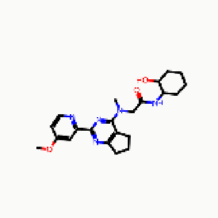 COc1ccnc(-c2nc3c(c(N(C)CC(=O)NC4CCCCC4O)n2)CCC3)c1